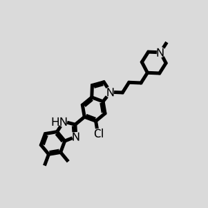 Cc1ccc2[nH]c(-c3cc4ccn(CCCC5CCN(C)CC5)c4cc3Cl)nc2c1C